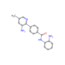 Cc1cnc(-c2ccc(C(=O)Nc3ccccc3N)cc2)c(N)c1